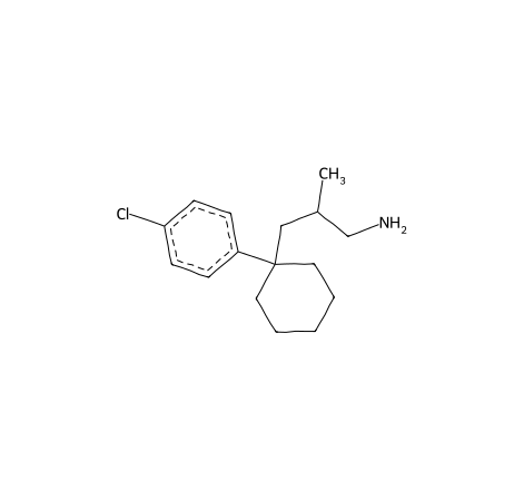 CC(CN)CC1(c2ccc(Cl)cc2)CCCCC1